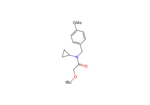 COc1ccc(CN(C(=O)COC(C)(C)C)C2CC2)cc1